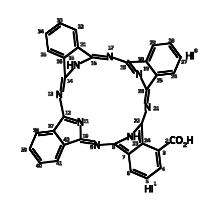 I.I.O=C(O)c1cccc2c3nc4nc(nc5[nH]c(nc6nc(nc([nH]3)c12)-c1ccccc1-6)c1ccccc51)-c1ccccc1-4